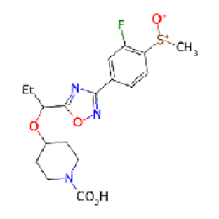 CCC(OC1CCN(C(=O)O)CC1)c1nc(-c2ccc([S+](C)[O-])c(F)c2)no1